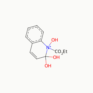 CCOC(=O)[N+]1(O)c2ccccc2C=CC1(O)O